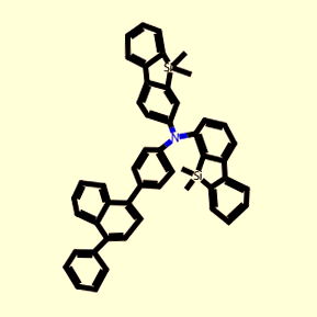 C[Si]1(C)c2ccccc2-c2ccc(N(c3ccc(-c4ccc(-c5ccccc5)c5ccccc45)cc3)c3cccc4c3[Si](C)(C)c3ccccc3-4)cc21